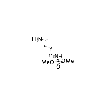 COP(=O)(NCCCCN)OC